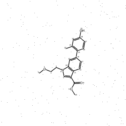 COCCn1cc(C(=O)OC)c2ccc(-c3ccc(O)cc3C)cc21